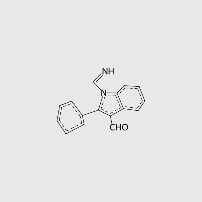 N=Cn1c(-c2ccccc2)c(C=O)c2ccccc21